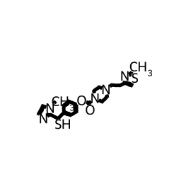 Cc1nc(CCN2CCN(C(=O)Oc3ccc(C(S)c4nccn4C)cc3)CC2)cs1